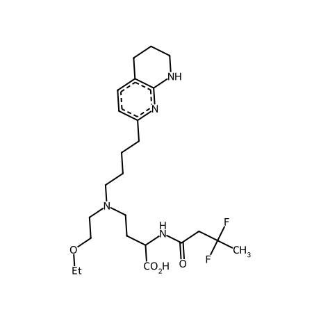 CCOCCN(CCCCc1ccc2c(n1)NCCC2)CCC(NC(=O)CC(C)(F)F)C(=O)O